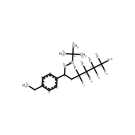 CCc1ccc(C(CC(F)(F)C(F)(F)C(F)(F)C(F)(F)F)OOC(C)(C)C)cc1